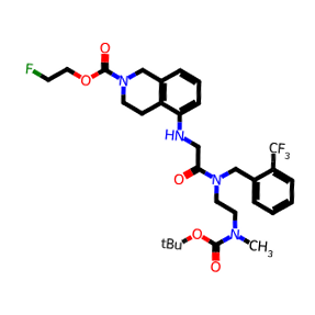 CN(CCN(Cc1ccccc1C(F)(F)F)C(=O)CNc1cccc2c1CCN(C(=O)OCCF)C2)C(=O)OC(C)(C)C